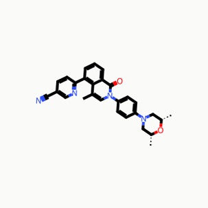 Cc1cn(-c2ccc(N3C[C@@H](C)O[C@@H](C)C3)cc2)c(=O)c2cccc(-c3ccc(C#N)cn3)c12